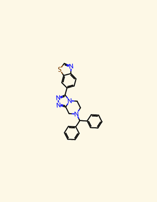 c1ccc(C(c2ccccc2)N2CCn3c(nnc3-c3ccc4ncsc4c3)C2)cc1